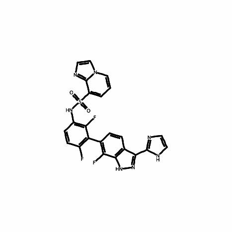 O=S(=O)(Nc1ccc(F)c(-c2ccc3c(-c4ncc[nH]4)n[nH]c3c2F)c1F)c1cccn2ccnc12